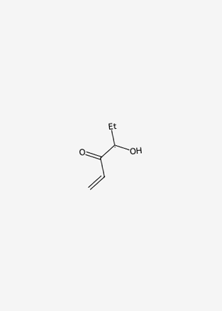 C=CC(=O)[C](O)CC